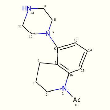 CC(=O)N1CCCc2c(N3CCNCC3)cccc21